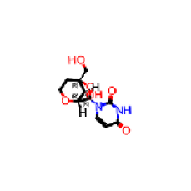 O=c1ccn([C@@H]2O[C@@]3(CO)CCO[C@@H]2[C@@H]3O)c(=O)[nH]1